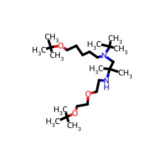 CC(C)(CN(CCCCCOC(C)(C)C)C(C)(C)C)NCCOCCOC(C)(C)C